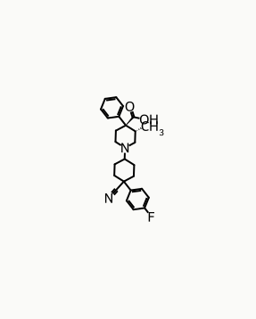 C[C@@H]1CN(C2CCC(C#N)(c3ccc(F)cc3)CC2)CC[C@]1(C(=O)O)c1ccccc1